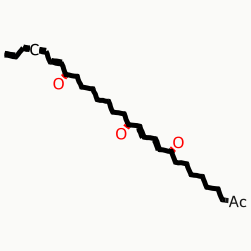 C=CC=C=CC=CC(=O)CCCCCCCC(=O)C=CC=CC(=O)CCCCCCCC(C)=O